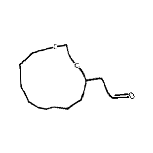 O=CCC1CCCCCCCCCC1